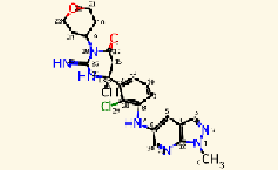 Cn1ncc2cc(Nc3cccc([C@]4(C)CC(=O)N(C5CCOCC5)C(=N)N4)c3Cl)cnc21